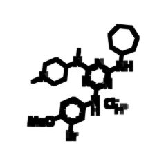 COc1ccc(Nc2nc(NC3CCCCCC3)nc(N(C)C3CCN(C)CC3)n2)cc1Br.[Cl-].[H+]